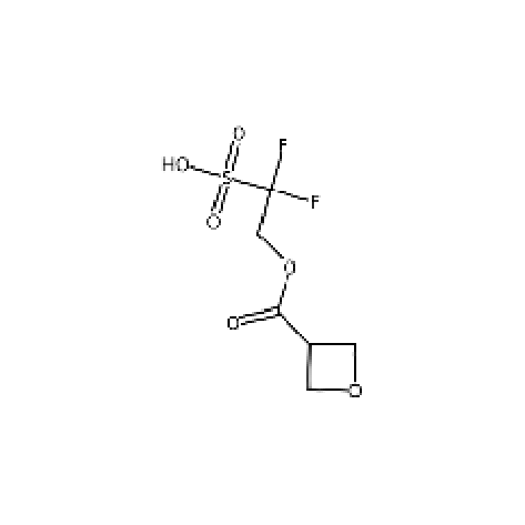 O=C(OCC(F)(F)S(=O)(=O)O)C1COC1